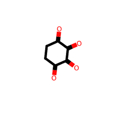 O=C1CCC(=O)C(=O)C1=O